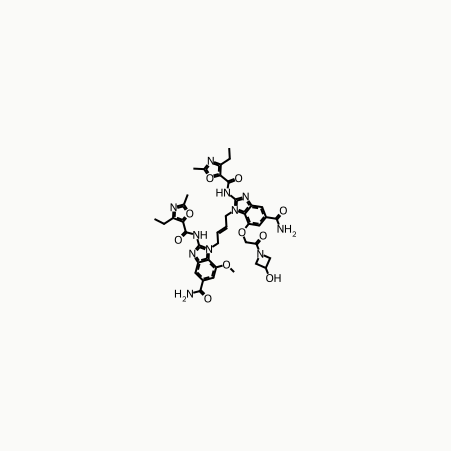 CCc1nc(C)oc1C(=O)Nc1nc2cc(C(N)=O)cc(OC)c2n1CC=CCn1c(NC(=O)c2oc(C)nc2CC)nc2cc(C(N)=O)cc(OCC(=O)N3CC(O)C3)c21